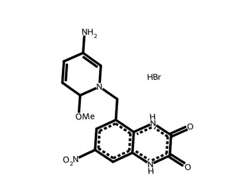 Br.COC1C=CC(N)=CN1Cc1cc([N+](=O)[O-])cc2[nH]c(=O)c(=O)[nH]c12